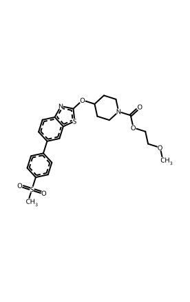 COCCOC(=O)N1CCC(Oc2nc3ccc(-c4ccc(S(C)(=O)=O)cc4)cc3s2)CC1